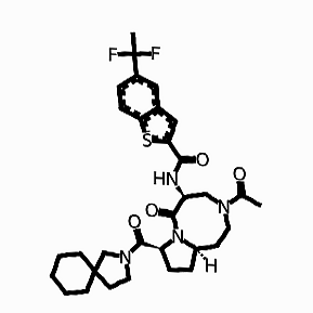 CC(=O)N1CC[C@H]2CC[C@@H](C(=O)N3CCC4(CCCCC4)C3)N2C(=O)[C@@H](NC(=O)c2cc3cc(C(C)(F)F)ccc3s2)C1